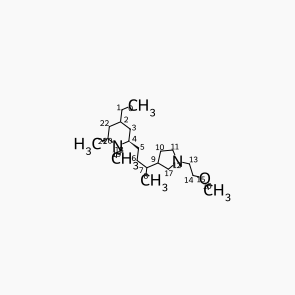 CCC1C[C@@H](CCC(C)C2CCN(CCOC)C2)N(C)[C@@H](C)C1